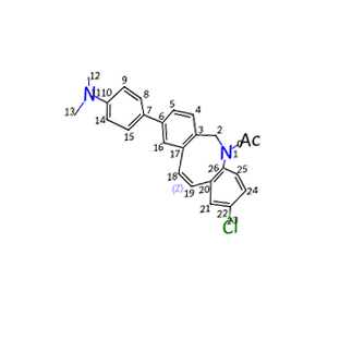 CC(=O)N1Cc2ccc(-c3ccc(N(C)C)cc3)cc2/C=C\c2cc(Cl)ccc21